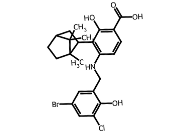 CC1(C)C2CCC1(C)C(c1c(NCc3cc(Br)cc(Cl)c3O)ccc(C(=O)O)c1O)C2